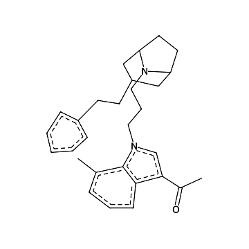 CC(=O)c1cn(CCCN2C3CCC2CC(CCc2ccccc2)C3)c2c(C)cccc12